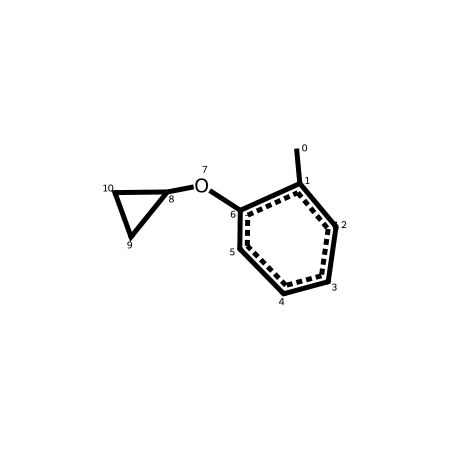 Cc1[c]cccc1OC1CC1